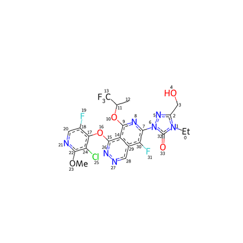 CCn1c(CO)nn(-c2nc(OC(C)C(F)(F)F)c3c(Oc4c(F)cnc(OC)c4Cl)nncc3c2F)c1=O